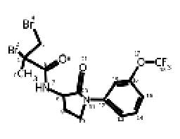 CC(Br)(CBr)C(=O)NC1CCN(c2cccc(OC(F)(F)F)c2)C1=O